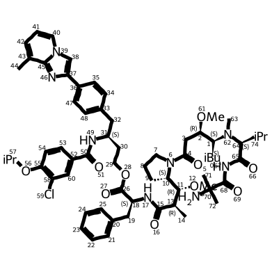 CC[C@H](C)[C@@H]([C@@H](CC(=O)N1CCC[C@H]1[C@H](OC)[C@@H](C)C(=O)N[C@@H](Cc1ccccc1)C(=O)OCC[C@H](Cc1ccc(-c2cn3cccc(C)c3n2)cc1)NC(=O)c1ccc(OC(C)C)c(Cl)c1)OC)N(C)[C@H](C(=O)NC(=O)C(C)(C)N)C(C)C